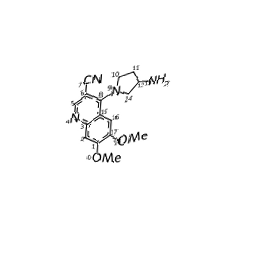 COc1cc2ncc(C#N)c(N3CCC(N)C3)c2cc1OC